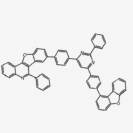 c1ccc(-c2nc(-c3ccc(-c4ccc5oc6c7ccccc7nc(-c7ccccc7)c6c5c4)cc3)cc(-c3ccc(-c4cccc5oc6ccccc6c45)cc3)n2)cc1